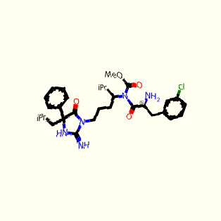 COC(=O)N(C(=O)[C@@H](N)Cc1cccc(Cl)c1)C(CCCN1C(=N)NC(CC(C)C)(c2ccccc2)C1=O)C(C)C